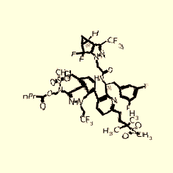 CCCC(=O)OCN(c1nn(CC(F)(F)F)c2c(-c3ccc(CCC(C)(C)S(C)(=O)=O)nc3[C@H](Cc3cc(F)cc(F)c3)NC(=O)Cn3nc(C(F)(F)F)c4c3C(F)(F)C3C[C@H]43)ccc(Cl)c12)S(C)(=O)=O